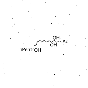 CCCCC[C@H](O)/C=C/C=C\C=C\C=C\[C@@H](O)[C@@H](O)CCCC(C)=O